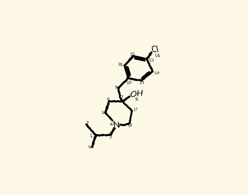 C[C](C)CN1CCC(O)(Cc2ccc(Cl)cc2)CC1